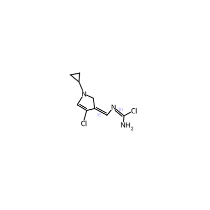 N/C(Cl)=N\C=C1/CN(C2CC2)C=C1Cl